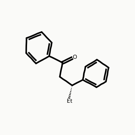 CC[C@H](CC(=O)c1ccccc1)c1ccccc1